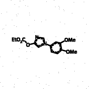 CCOC(=O)Oc1cn(-c2ccc(OC)c(OC)c2)cn1